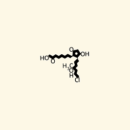 CC(O)(CC=C[C@H]1[C@H](O)CC(=O)[C@@H]1CCCCCCC(=O)CO)CCCCl